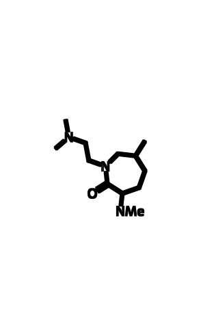 CNC1CCC(C)CN(CCN(C)C)C1=O